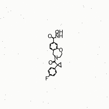 O=C(NO)c1ccc2c(c1)OCCN(C(=O)C1(c3ccc(F)cc3)CC1)C2